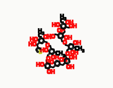 Cc1cc(COCc2cc(C(O)c3ccsc3)c(O)c(C)c2O)c(O)c(COCc2cc(Cc3cc(Cc4cc(COCc5c(COCc6cc(CO)c(O)c(Cc7cc(O)c(C)c(O)c7CO)c6O)cc(O)c(C)c5O)c(O)cc4O)c(O)cc3O)c(O)cc2O)c1O